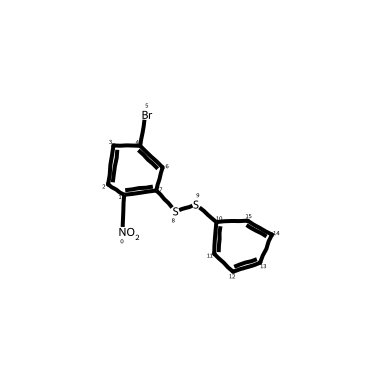 O=[N+]([O-])c1ccc(Br)cc1SSc1ccccc1